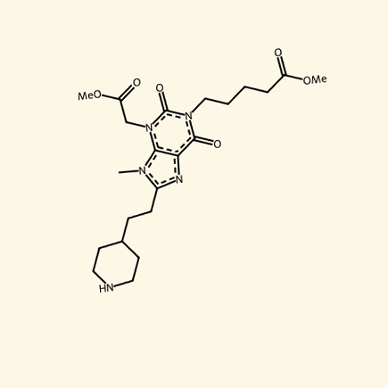 COC(=O)CCCCn1c(=O)c2nc(CCC3CCNCC3)n(C)c2n(CC(=O)OC)c1=O